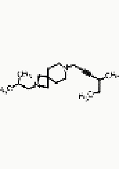 CCC(C)C#CCN1CCC2(CC1)CN(CC(C)C)C2